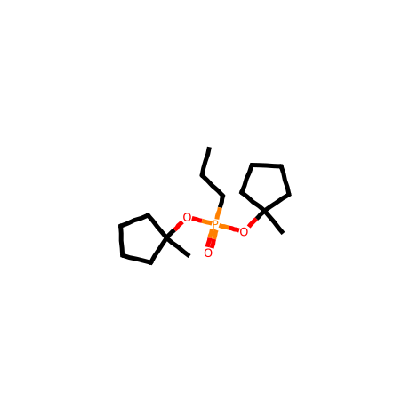 CCCP(=O)(OC1(C)CCCC1)OC1(C)CCCC1